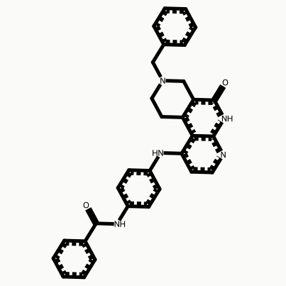 O=C(Nc1ccc(Nc2ccnc3[nH]c(=O)c4c(c23)CCN(Cc2ccccc2)C4)cc1)c1ccccc1